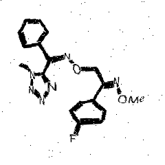 CO/N=C(/CON=C(c1ccccc1)c1nnnn1C)c1ccc(F)cc1